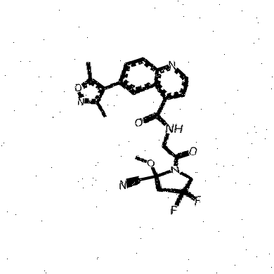 COC1(C#N)CC(F)(F)CN1C(=O)CNC(=O)c1ccnc2ccc(-c3c(C)noc3C)cc12